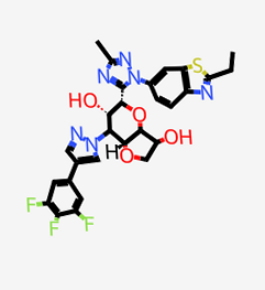 CCc1nc2ccc(-n3nc(C)nc3[C@@H]3OC4C(O)CO[C@@H]4C(n4cc(-c5cc(F)c(F)c(F)c5)cn4)[C@@H]3O)cc2s1